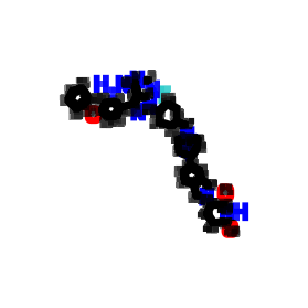 Nc1ncnc2c1c(-c1ccc(Oc3ccccc3)cc1)nn2C1CCC(CN2CC3CCC2CN3c2ccc3c(c2)CN(C2CCC(=O)NC2=O)C3)CC1F